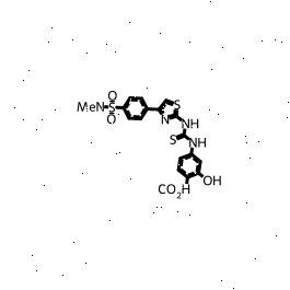 CNS(=O)(=O)c1ccc(-c2csc(NC(=S)Nc3ccc(C(=O)O)c(O)c3)n2)cc1